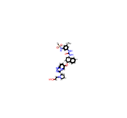 CC(C)(C)c1cc(NC(=O)N[C@H]2CC[C@@H](Oc3ccc4nnc([C@@H]5CCCN5CCO)n4c3)c3ccccc32)cc(NS(C)(=O)=O)c1